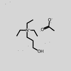 CC(=O)[O-].CC[N+](CC)(CC)CCCO